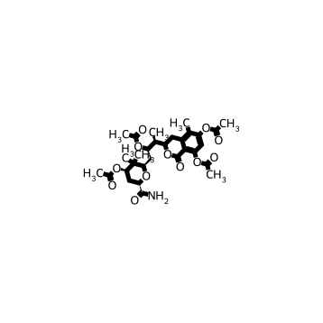 CC(=O)Oc1cc(OC(C)=O)c2c(c1C)CC([C@H](C)[C@H](C[C@H]1O[C@H](C(N)=O)C[C@@H](OC(C)=O)C1(C)C)OC(C)=O)OC2=O